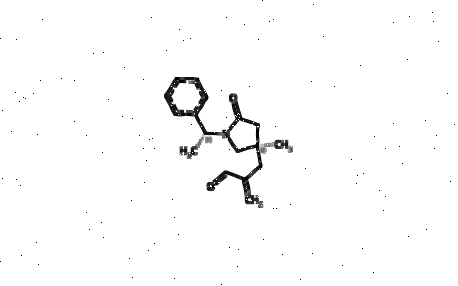 C=C(C=O)C[C@]1(C)CC(=O)N([C@H](C)c2ccccc2)C1